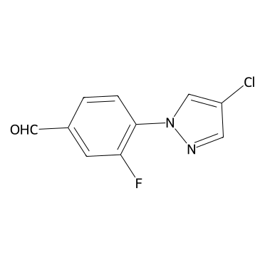 O=Cc1ccc(-n2cc(Cl)cn2)c(F)c1